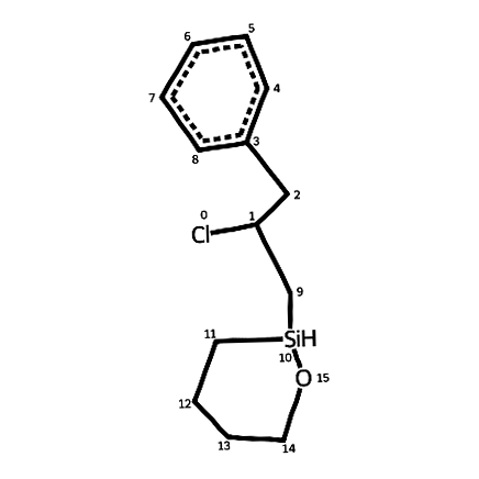 ClC(Cc1ccccc1)C[SiH]1CCCCO1